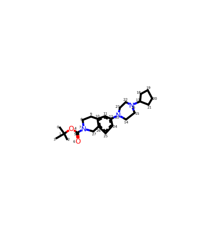 CC(C)(C)OC(=O)N1CCc2cc(N3CCN(C4CCCC4)CC3)ccc2C1